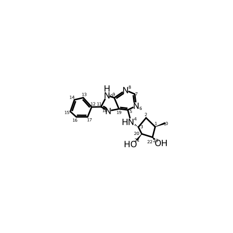 [CH2][C@@H]1C[C@@H](Nc2ncnc3[nH]c(-c4ccccc4)nc23)[C@H](O)[C@@H]1O